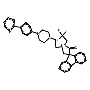 O=C(NCC(F)(F)F)C1(CCCCN2CCN(c3ccc(-c4ccccn4)cc3)CC2)c2ccccc2-c2ccccc21